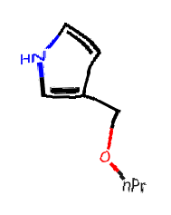 CCCOCc1cc[nH]c1